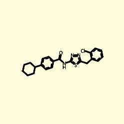 O=C(Nc1nnc(Cc2ccccc2Cl)s1)c1ccc(C2CC[CH]CC2)cc1